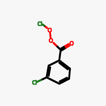 O=C(OOCl)c1cccc(Cl)c1